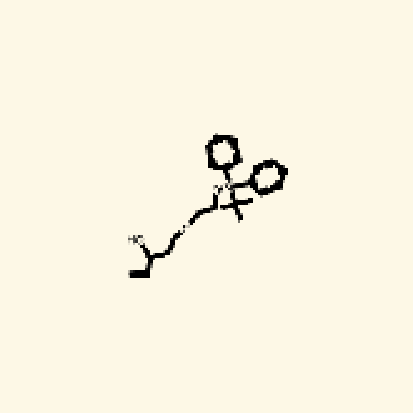 C=CC(O)CCCCCO[Si](c1ccccc1)(c1ccccc1)C(C)(C)C